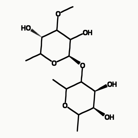 COC1C(O)[C@@H](OC2C(C)OC(C)[C@H](O)[C@@H]2O)OC(C)[C@@H]1O